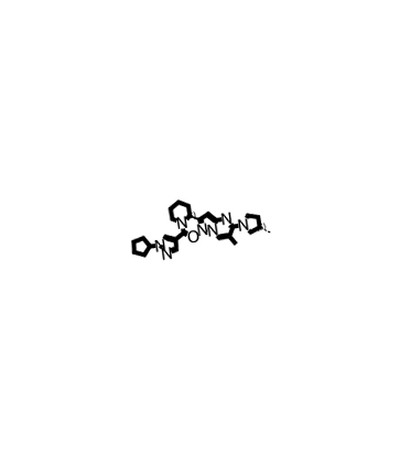 Cc1cn2nc([C@@H]3CCCCN3C(=O)c3cnn(C4CCCC4)c3)cc2nc1N1CC[C@H](C)C1